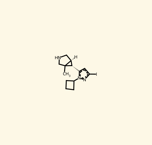 CC12CNC[C@H]1[C@@H]2c1cc(I)nn1C1CCC1